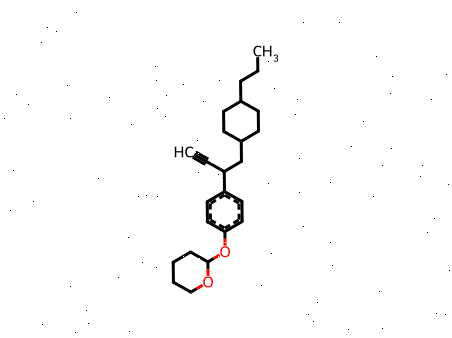 C#CC(CC1CCC(CCC)CC1)c1ccc(OC2CCCCO2)cc1